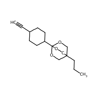 C#CC1CCC(C23OCC(CCC)(CO2)CO3)CC1